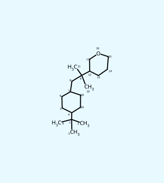 CC(C)(C)C1CCC(CC(C)(C)C2CCCOC2)CC1